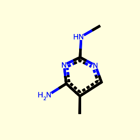 CNc1ncc(C)c(N)n1